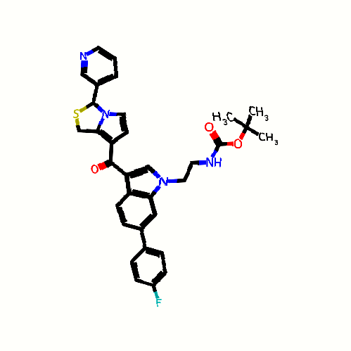 CC(C)(C)OC(=O)NCCn1cc(C(=O)c2ccn3c2CSC3c2cccnc2)c2ccc(-c3ccc(F)cc3)cc21